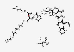 CCc1c2c(nc3ccccc13)-c1cc3c(c(=O)n1C2)COC(=O)[C@@]3(CC)OC(=O)[C@@H](NC(=O)[C@@H]1CCCN1C(=O)[C@H](CC(=O)OCCCN(C)C)NC(=O)CCOCCOCCOCCN)C(C)C.O=C(O)C(F)(F)F